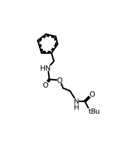 CC(C)(C)C(=O)NCCOC(=O)NCc1ccccc1